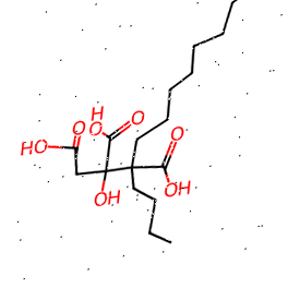 CCCCCCCCC(CCCC)(C(=O)O)C(O)(CC(=O)O)C(=O)O